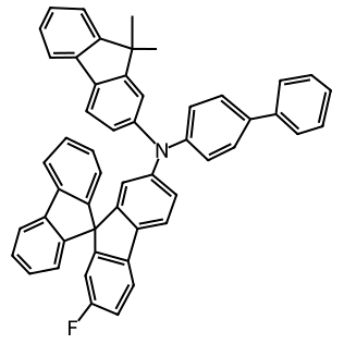 CC1(C)c2ccccc2-c2ccc(N(c3ccc(-c4ccccc4)cc3)c3ccc4c(c3)C3(c5ccccc5-c5ccccc53)c3cc(F)ccc3-4)cc21